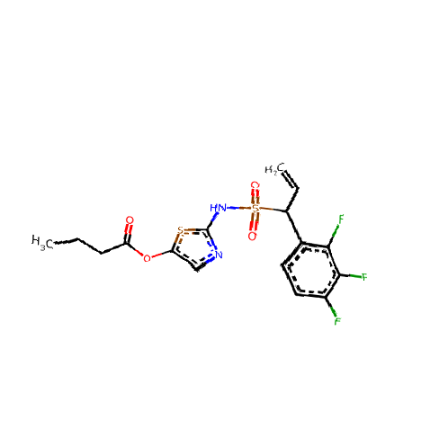 C=CC(c1ccc(F)c(F)c1F)S(=O)(=O)Nc1ncc(OC(=O)CCC)s1